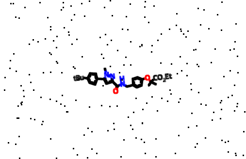 CCOC(=O)C(C)(C)Oc1ccc(CNC(=O)c2cc(-c3ccc(C(C)(C)C)cc3)n(C)n2)cc1